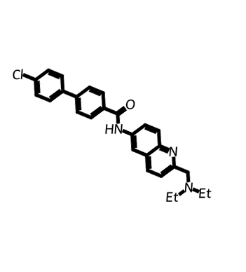 CCN(CC)Cc1ccc2cc(NC(=O)c3ccc(-c4ccc(Cl)cc4)cc3)ccc2n1